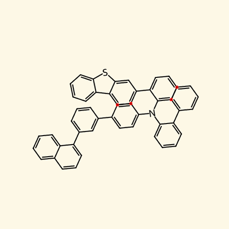 c1ccc(-c2ccccc2N(c2ccc(-c3cccc(-c4cccc5ccccc45)c3)cc2)c2ccccc2-c2ccc3c(c2)sc2ccccc23)cc1